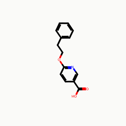 O=C(O)c1ccc(OCCc2ccccc2)nc1